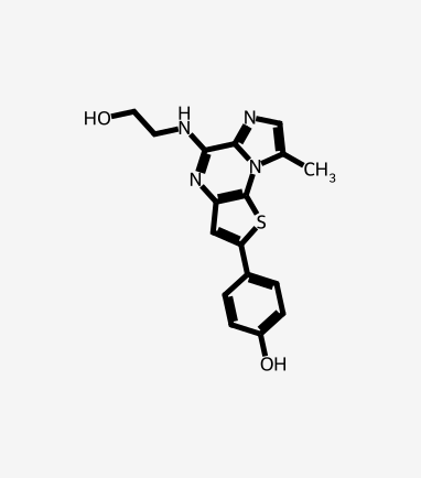 Cc1cnc2c(NCCO)nc3cc(-c4ccc(O)cc4)sc3n12